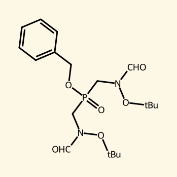 CC(C)(C)ON(C=O)CP(=O)(CN(C=O)OC(C)(C)C)OCc1ccccc1